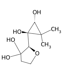 CC1(C)[C@@H](O)[C@@]1(O)[C@H]1OCCC1(O)O